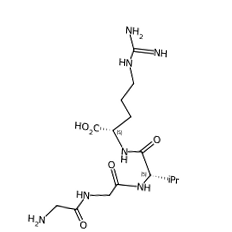 CC(C)[C@H](NC(=O)CNC(=O)CN)C(=O)N[C@@H](CCCNC(=N)N)C(=O)O